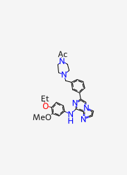 CCOc1ccc(Nc2nc(-c3cccc(CN4CCN(C(C)=O)CC4)c3)cn3ccnc23)cc1OC